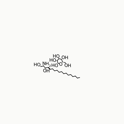 CCCCCCCCCCCCC/C=C/[C@@H](O)[C@@H](N)CO.OC[C@H]1O[C@@H](O)[C@H](O)[C@@H](O)[C@H]1O